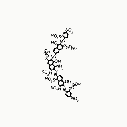 Nc1c(N=Nc2ccc3c(O)c(N=Nc4ccc([N+](=O)[O-])cc4SOOO)c(S(=O)(=O)O)cc3c2S(=O)(=O)O)c(S(=O)(=O)O)cc2cc(SOOO)c(N=Nc3ccc4c(O)c(N=Nc5ccc([N+](=O)[O-])cc5S(=O)(=O)O)c(SOOO)cc4c3)c(O)c12